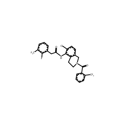 O=C(Cc1cccc(C(F)(F)F)c1F)Nc1c(Cl)ccc2c1CCN(C(=O)c1ccccc1C(F)(F)F)C2